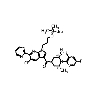 C[C@@H]1CC(C(=O)c2cn(CCCO[Si](C)(C)C(C)(C)C)c3nc(-c4ncccn4)c(Cl)cc23)C[C@@H](C)N1c1ncc(F)cc1I